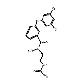 NC(=O)NCCN(O)C(=O)c1cccc(Oc2cc(Cl)cc(Cl)c2)c1